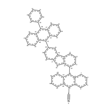 N#Cc1c2ccccc2c(-c2cccc3c2sc2ccc(-c4c5ccccc5c(-c5ccccc5)c5ccccc45)cc23)c2ccccc12